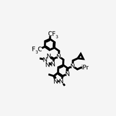 Cc1nn(C)c2nc(N(CC(C)C)CC3CC3)c(CN(Cc3cc(C(F)(F)F)cc(C(F)(F)F)c3)c3nnn(C)n3)cc12